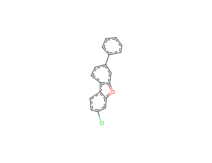 Clc1ccc2c(c1)oc1cc(-c3ccccc3)ccc12